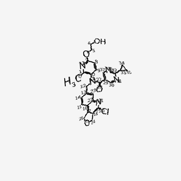 Cc1nc(OCCO)ccc1N(Cc1ccc2c3c(c(Cl)nc2c1)COC3)C(=O)c1cnc(C2CC2)nc1